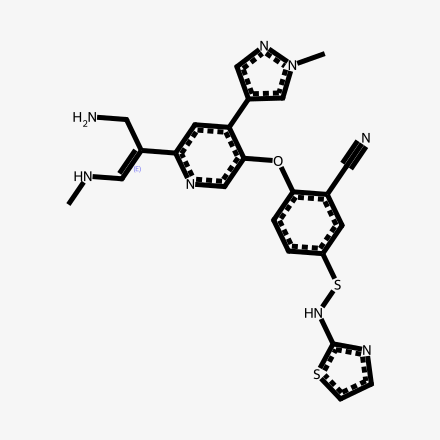 CN/C=C(\CN)c1cc(-c2cnn(C)c2)c(Oc2ccc(SNc3nccs3)cc2C#N)cn1